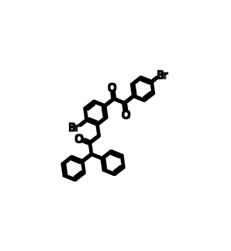 O=C(C(=O)c1ccc(Br)c(CC(=O)C(c2ccccc2)c2ccccc2)c1)c1ccc(Br)cc1